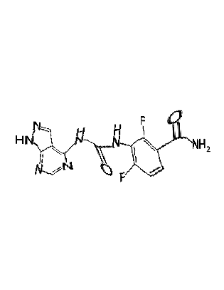 NC(=O)c1ccc(F)c(NC(=O)Nc2ncnc3[nH]ncc23)c1F